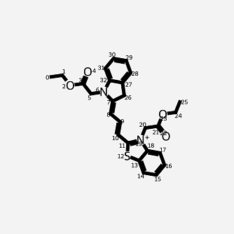 CCOC(=O)CN1/C(=C/C=C/c2sc3ccccc3[n+]2CC(=O)OCC)Cc2ccccc21